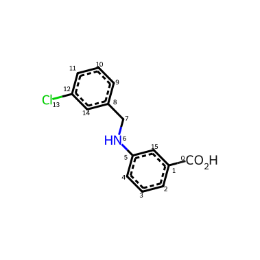 O=C(O)c1cccc(NCc2cccc(Cl)c2)c1